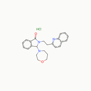 Cl.O=C1c2ccccc2C(N2CCCOCC2)N1CCc1ccc2ccccc2n1